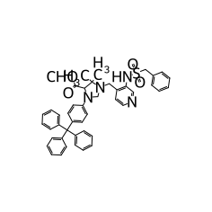 CC1(C)C(C(=O)C=O)N(c2ccc(C(c3ccccc3)(c3ccccc3)c3ccccc3)cc2)CN1Cc1ccncc1NS(=O)(=O)Cc1ccccc1